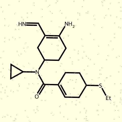 CCSC1CC=C(C(=O)N(C2CC2)C2CCC(N)=C(C=N)C2)CC1